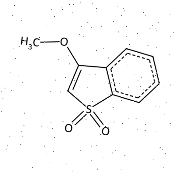 COC1=CS(=O)(=O)c2ccccc21